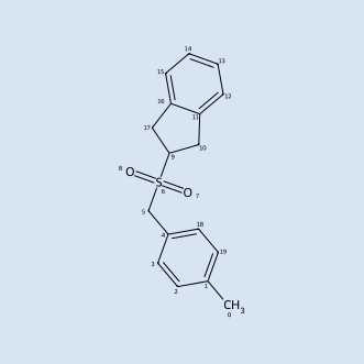 Cc1ccc(CS(=O)(=O)C2Cc3ccccc3C2)cc1